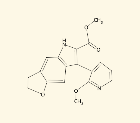 COC(=O)c1[nH]c2cc3c(cc2c1-c1cccnc1OC)OCC3